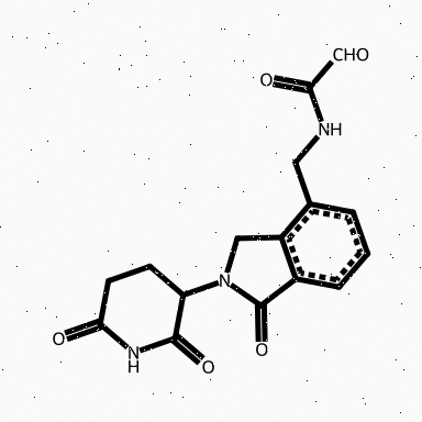 O=CC(=O)NCc1cccc2c1CN(C1CCC(=O)NC1=O)C2=O